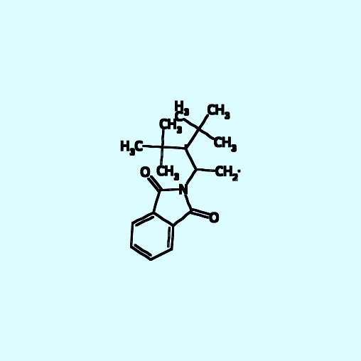 [CH2]C([C](C(C)(C)C)C(C)(C)C)N1C(=O)c2ccccc2C1=O